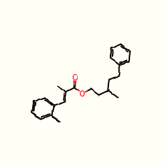 C/C(=C\c1ccccc1C)C(=O)OCCC(C)CCc1ccccc1